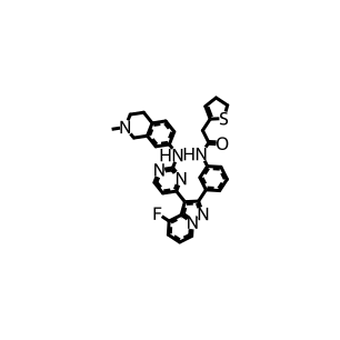 CN1CCc2ccc(Nc3nccc(-c4c(-c5cccc(NC(=O)CC6=CCCS6)c5)nn5cccc(F)c45)n3)cc2C1